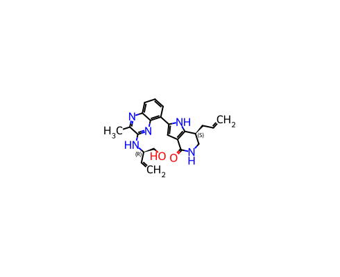 C=CC[C@H]1CNC(=O)c2cc(-c3cccc4nc(C)c(N[C@H](C=C)CO)nc34)[nH]c21